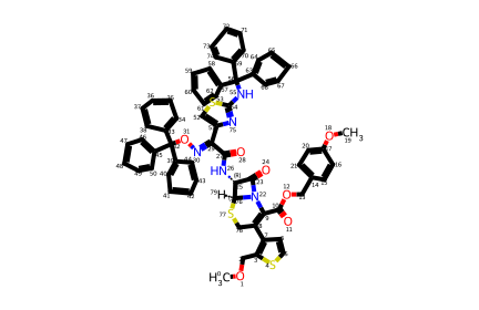 COCc1sccc1C1=C(C(=O)OCc2ccc(OC)cc2)N2C(=O)[C@@H](NC(=O)C(=NOC(c3ccccc3)(c3ccccc3)c3ccccc3)c3csc(NC(c4ccccc4)(c4ccccc4)c4ccccc4)n3)[C@@H]2SC1